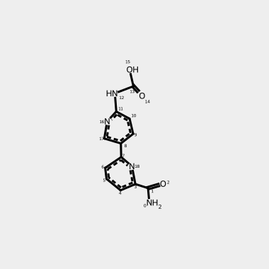 NC(=O)c1cccc(-c2ccc(NC(=O)O)nc2)n1